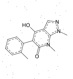 Cc1ccccc1-c1c(O)c2cnn(C)c2n(C)c1=O